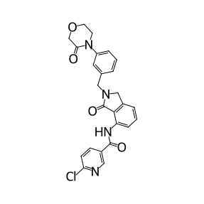 O=C(Nc1cccc2c1C(=O)N(Cc1cccc(N3CCOCC3=O)c1)C2)c1ccc(Cl)nc1